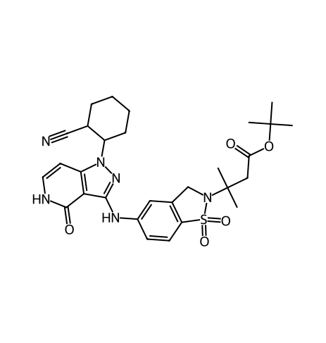 CC(C)(C)OC(=O)CC(C)(C)N1Cc2cc(Nc3nn(C4CCCCC4C#N)c4cc[nH]c(=O)c34)ccc2S1(=O)=O